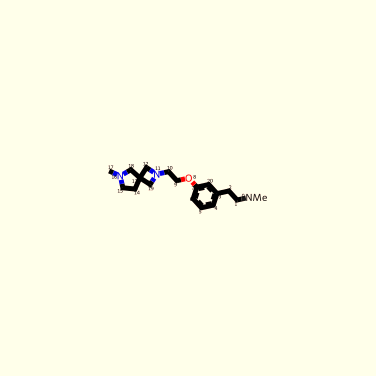 CNCCc1cccc(OCCN2CC3(CCN(C)C3)C2)c1